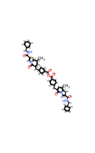 Cc1cc(Cc2ccc(C(=O)OC(=O)c3ccc(Cc4cc(C)c5sc(C(=O)NCc6ccccc6)cn5c4=O)cc3)cc2)c(=O)n2c1CC(C(=O)NCc1ccccc1)=C2